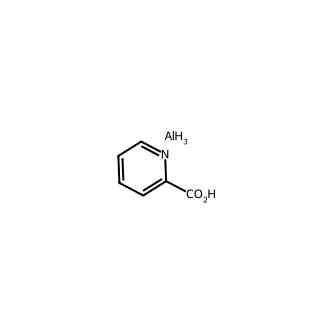 O=C(O)c1ccccn1.[AlH3]